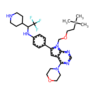 C[Si](C)(C)CCOCn1c(-c2ccc(NC(C3CCNCC3)C(F)(F)F)cc2)cc2c(N3CCOCC3)ncnc21